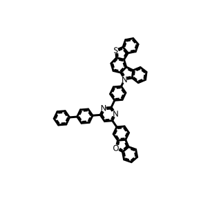 c1ccc(-c2ccc(-c3cc(-c4ccc5c(c4)oc4ccccc45)nc(-c4ccc(-n5c6ccccc6c6c7c(ccc65)sc5ccccc57)cc4)n3)cc2)cc1